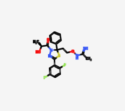 CC(=N)NOCCC1(c2ccccc2)SC(c2cc(F)ccc2F)=NN1C(=O)[C@H](C)O